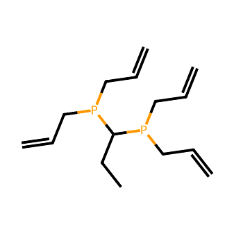 C=CCP(CC=C)C(CC)P(CC=C)CC=C